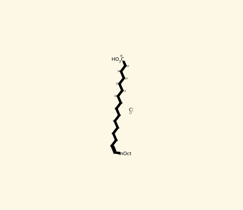 CCCCCCCC/C=C\CCCCCCCCCCCCCC(=O)O.[C]